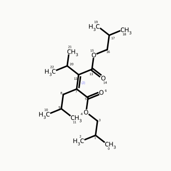 CC(C)COC(=O)/C(CC(C)C)=C(\C(=O)OCC(C)C)C(C)C